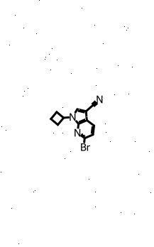 N#Cc1cn(C2CCC2)c2nc(Br)ccc12